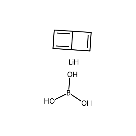 OB(O)O.[LiH].c1cc2ccc1-2